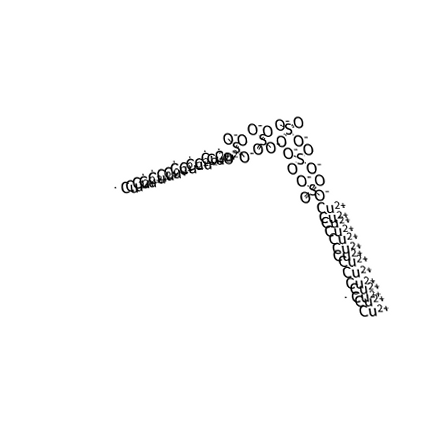 O=S(=O)([O-])[O-].O=S(=O)([O-])[O-].O=S(=O)([O-])[O-].O=S(=O)([O-])[O-].O=S(=O)([O-])[O-].[Cu+2].[Cu+2].[Cu+2].[Cu+2].[Cu+2].[Cu+2].[Cu+2].[Cu+2].[Cu+2].[Cu+2].[Cu+2].[Cu+2].[Cu+2].[Cu+2].[Cu+2].[Cu+2].[Cu+2].[Cu+2].[Cu+2].[Cu+2].[Cu+2].[Cu+2].[Cu+2].[Cu+2].[Cu+2].[Cu+2].[Cu+2].[Cu+2]